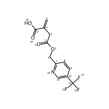 C=C(CC(=O)OCc1ccc(C(F)(F)F)cn1)C(=O)O